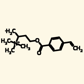 [CH2]C(CCOC(=O)c1ccc(C=C)cc1)[N+](C)(C)C